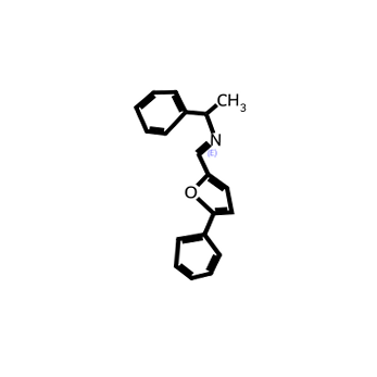 CC(/N=C/c1ccc(-c2ccccc2)o1)c1ccccc1